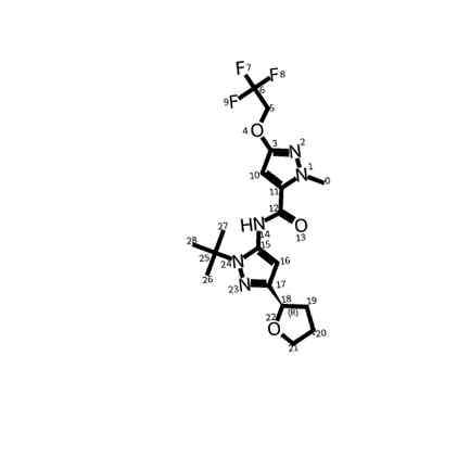 Cn1nc(OCC(F)(F)F)cc1C(=O)Nc1cc([C@H]2C[CH]CO2)nn1C(C)(C)C